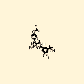 CC(NC(=O)c1cc(C(F)(F)F)cc(C(C)(C)C#N)c1)c1nc(Br)nn1-c1ncc(OC(F)F)cn1